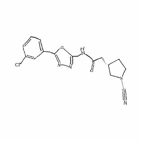 N#CN1CC[C@@H](CC(=O)Nc2nnc(-c3cccc(Cl)c3)o2)C1